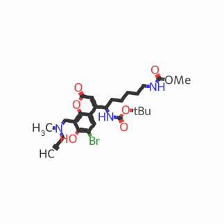 C#CCN(C)Cc1c(O)c(Br)cc2c(C(CCCCCNC(=O)OC)NC(=O)OC(C)(C)C)cc(=O)oc12